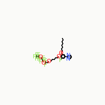 CCCCCCCCOc1cc(-c2ncccn2)cc(F)c1OCCCCCOCC(F)(F)OC(F)(F)C(F)(F)OC(F)(F)C(F)(F)F